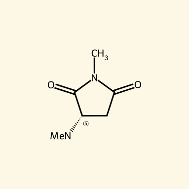 CN[C@H]1CC(=O)N(C)C1=O